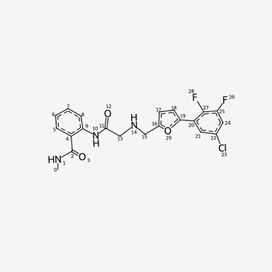 CNC(=O)c1ccccc1NC(=O)CNCc1ccc(-c2cc(Cl)cc(F)c2F)o1